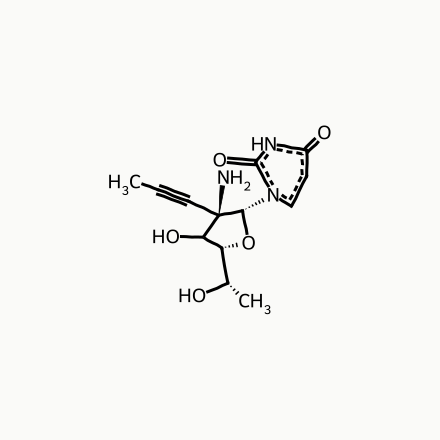 CC#C[C@@]1(N)C(O)[C@@H]([C@H](C)O)O[C@H]1n1ccc(=O)[nH]c1=O